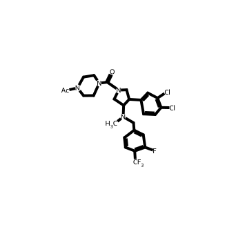 CC(=O)N1CCN(C(=O)N2CC(c3ccc(Cl)c(Cl)c3)C(N(C)Cc3ccc(C(F)(F)F)c(F)c3)C2)CC1